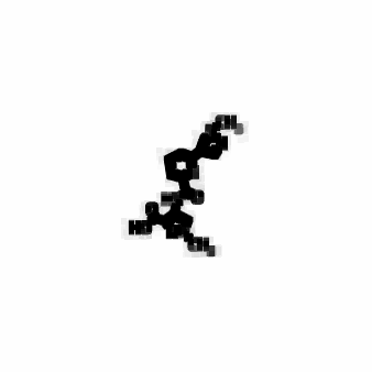 Cn1cc(-c2cccc(C(=O)Nc3cn(C)nc3C(=O)O)n2)cn1